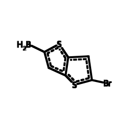 Bc1cc2sc(Br)cc2s1